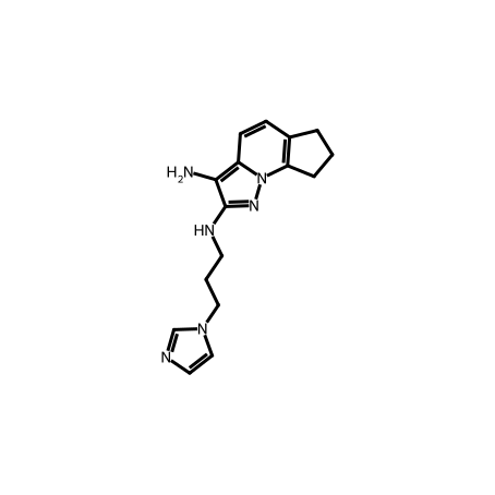 Nc1c(NCCCn2ccnc2)nn2c3c(ccc12)CCC3